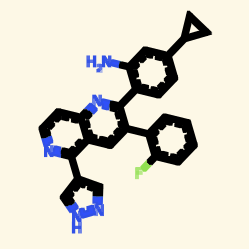 Nc1cc(C2CC2)ccc1-c1nc2ccnc(-c3cn[nH]c3)c2cc1-c1ccccc1F